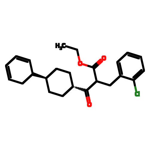 CCOC(=O)C(Cc1ccccc1Cl)C(=O)[C@H]1CC[C@H](C2C=CC=CC2)CC1